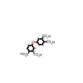 O=C(O)c1ccc(Oc2ccc(C(=O)O)c(C(=O)O)c2)cc1C(=O)O